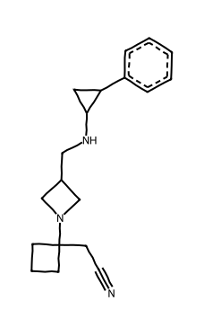 N#CCC1(N2CC(CNC3CC3c3ccccc3)C2)CCC1